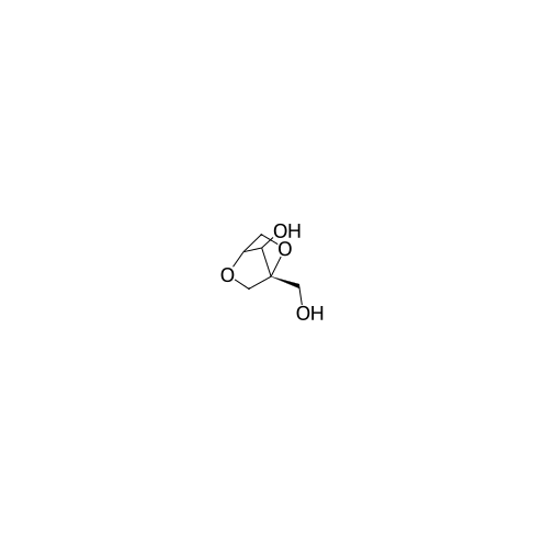 OC[C@]12COC(CO1)C2O